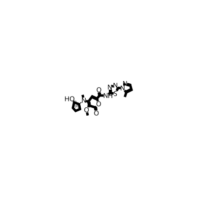 COc1c(N(C)[C@@H]2CCC[C@@H]2O)cc(C(=O)Nc2nnc(-n3nccc3C)s2)oc1=O